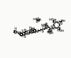 Cc1cc(OCCCC(=O)NCCC[C@H](C[C@H](CS(=O)(=O)O)NC(=O)CN2CCN(CC(=O)O)CCN(CC(=O)O)CCN(CC(=O)O)CC2)CS(=O)(=O)O)cc(C)c1S(=O)(=O)N[C@@H](CNC(=O)C1CC(=O)c2ccc(CNc3ncc[nH]3)cc2N1C)C(=O)O.O=C(O)C(F)(F)F